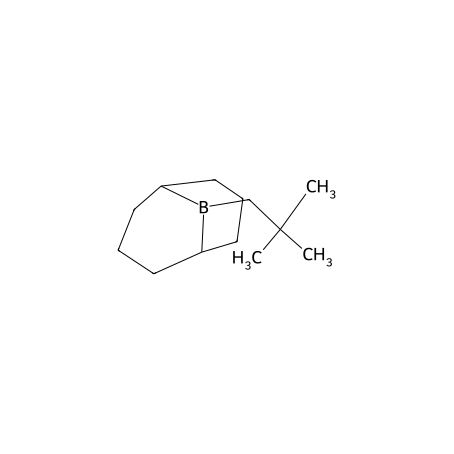 CC(C)(C)CB1C2CCCC1CCC2